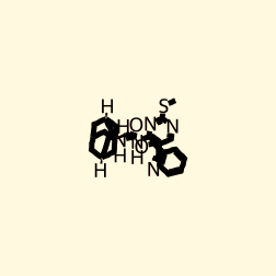 CSc1ncc(C#N)c(NC[C@]23CC4C[C@H](C2)[C@@H](NC(=O)OCc2ccccc2)[C@@H](C4)C3)n1